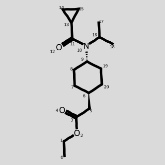 CCOC(=O)C[C@H]1CC[C@H](N(C(=O)C2CC2)C(C)C)CC1